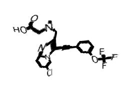 CN(CC(=O)O)Cc1nc2ccc(Cl)cn2c1C#Cc1cccc(OC(F)(F)F)c1